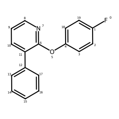 Fc1ccc(Oc2ncccc2-c2c[c]ccc2)cc1